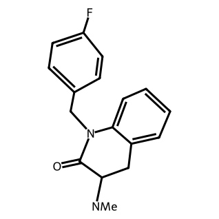 CNC1Cc2ccccc2N(Cc2ccc(F)cc2)C1=O